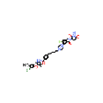 CC1(C)[C@H](NC(=O)c2ccc(CCCCCCN3CCN(c4cc5c(cc4F)CN(C4CCC(=O)NC4=O)C5=O)CC3)cc2)C(C)(C)[C@H]1Oc1ccc(C#N)c(Cl)c1